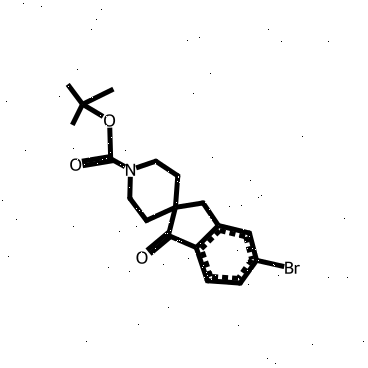 CC(C)(C)OC(=O)N1CCC2(CC1)Cc1cc(Br)ccc1C2=O